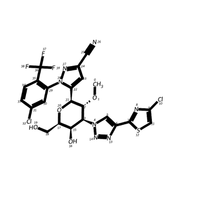 CO[C@@H]1[C@@H](n2cc(-c3nc(Cl)cs3)nn2)[C@@H](O)[C@@H](CO)O[C@H]1c1cc(C#N)nn1-c1cc(Cl)ccc1C(F)(F)F